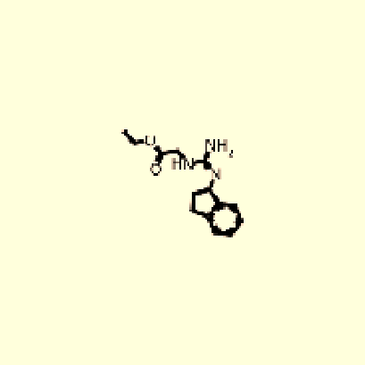 CCOC(=O)CNC(N)=NC1CCc2ccccc21